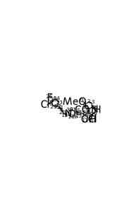 COc1ccc2ncc(Cl)c([C@H](O)CCC3(C(=O)O)CCN(CC#Cc4ccc(F)c(Cl)c4)CC3)c2c1